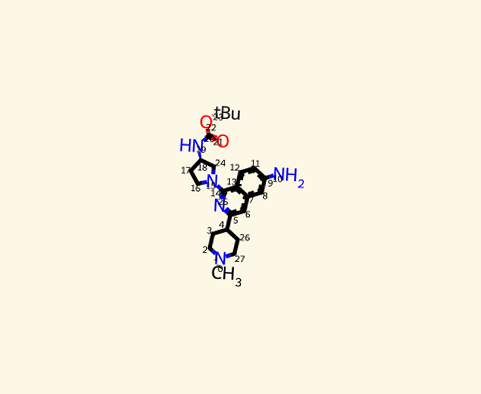 CN1CCC(c2cc3cc(N)ccc3c(N3CC[C@@H](NC(=O)OC(C)(C)C)C3)n2)CC1